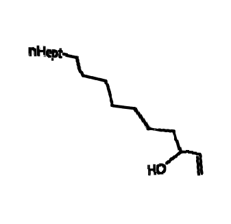 C=CC(O)CCCCCCCCCCCCCC